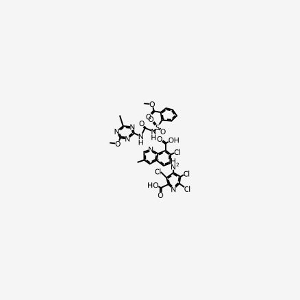 COC(=O)c1ccccc1S(=O)(=O)NC(=O)Nc1nc(C)nc(OC)n1.Cc1cnc2c(C(=O)O)c(Cl)ccc2c1.Nc1c(Cl)c(Cl)nc(C(=O)O)c1Cl